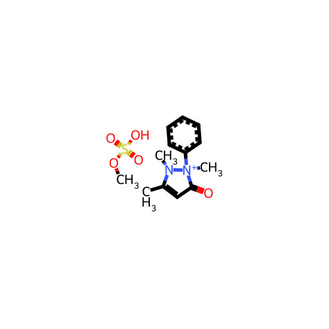 CC1=CC(=O)[N+](C)(c2ccccc2)N1C.COS(=O)(=O)O